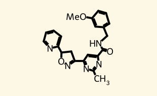 COc1cccc(CNC(=O)c2cc(C3=NOC(c4ccccn4)C3)nc(C)n2)c1